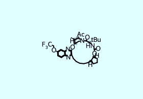 CC(=O)[C@@H]1[C@H](C)[C@@H]2CN1C(=O)[C@H](C(C)(C)C)NC(=O)O[C@@H]1CCC[C@H]1CCCCCc1nc3ccc(OCC(F)(F)F)cc3nc1O2